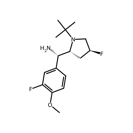 COc1ccc([C@H](N)[C@H]2C[C@H](F)CN2C(C)(C)C)cc1F